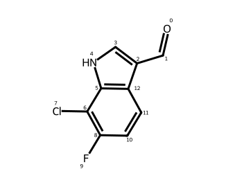 O=Cc1c[nH]c2c(Cl)c(F)ccc12